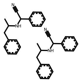 CC(Cc1ccccc1)NC(C#N)c1ccccc1.CC(Cc1ccccc1)NC(C#N)c1ccccc1